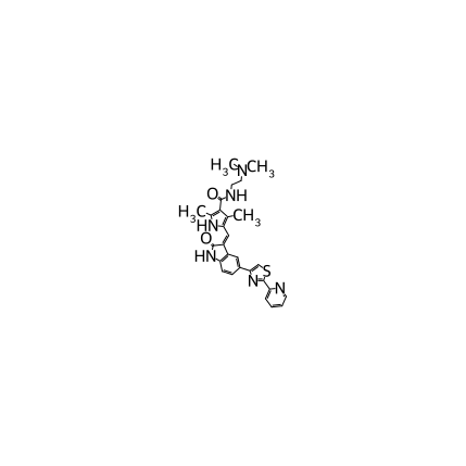 Cc1[nH]c(/C=C2\C(=O)Nc3ccc(-c4csc(-c5ccccn5)n4)cc32)c(C)c1C(=O)NCCN(C)C